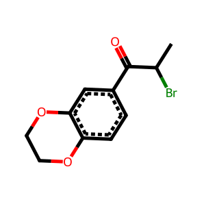 CC(Br)C(=O)c1ccc2c(c1)OCCO2